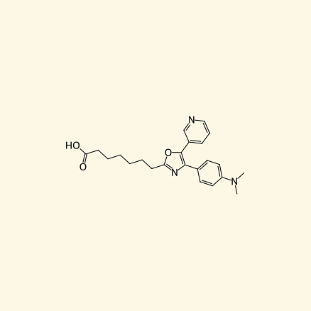 CN(C)c1ccc(-c2nc(CCCCCCC(=O)O)oc2-c2cccnc2)cc1